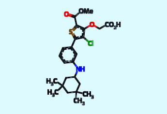 COC(=O)c1sc(-c2cccc(NC3CC(C)(C)CC(C)(C)C3)c2)c(Cl)c1OCC(=O)O